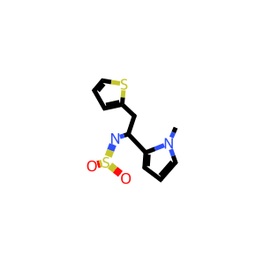 Cn1cccc1C(Cc1cccs1)N=S(=O)=O